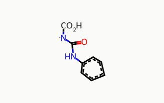 O=C(O)[N]C(=O)Nc1ccccc1